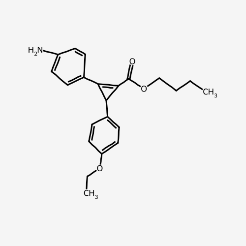 CCCCOC(=O)C1=C(c2ccc(N)cc2)C1c1ccc(OCC)cc1